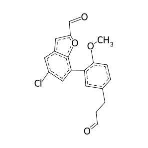 COc1ccc(CCC=O)cc1-c1cc(Cl)cc2cc(C=O)oc12